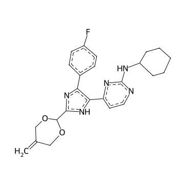 C=C1COC(c2nc(-c3ccc(F)cc3)c(-c3ccnc(NC4CCCCC4)n3)[nH]2)OC1